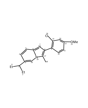 CCC(CC)c1ccc2nc(-c3ccc(OC)cc3Cl)c(C)n2c1